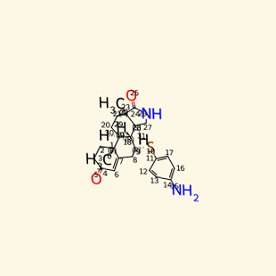 C[C@]12CCC(=O)C=C1C[C@@H](Sc1ccc(N)cc1)[C@@H]1[C@@H]2CC[C@]2(C)C(=O)NC[C@@H]12